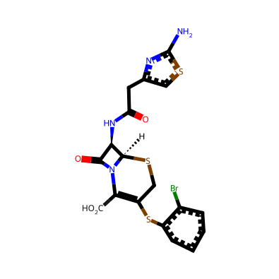 Nc1nc(CC(=O)N[C@@H]2C(=O)N3C(C(=O)O)=C(Sc4ccccc4Br)CS[C@H]23)cs1